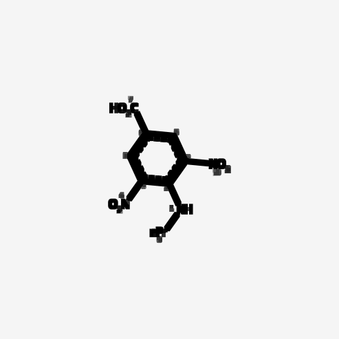 CCCNc1c([N+](=O)[O-])cc(C(=O)O)cc1[N+](=O)[O-]